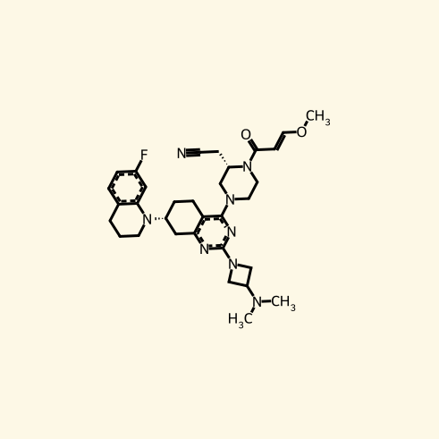 CO/C=C/C(=O)N1CCN(c2nc(N3CC(N(C)C)C3)nc3c2CC[C@@H](N2CCCc4ccc(F)cc42)C3)C[C@@H]1CC#N